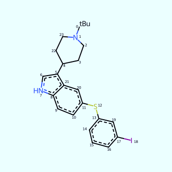 CC(C)(C)N1CCC(c2c[nH]c3ccc(Sc4cccc(I)c4)cc23)CC1